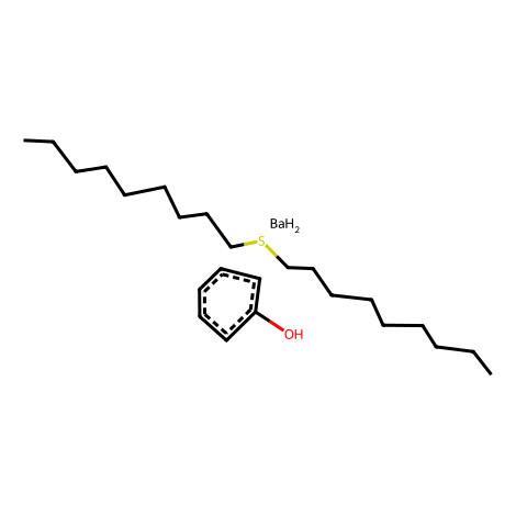 CCCCCCCCCSCCCCCCCCC.Oc1ccccc1.[BaH2]